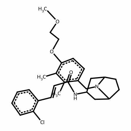 COCCOc1ccc(CN2C3CCC2CC(NC(=O)/C=C/c2ccccc2Cl)C3)c(C)c1C